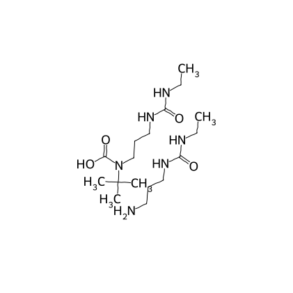 CCNC(=O)NCCCN.CCNC(=O)NCCCN(C(=O)O)C(C)(C)C